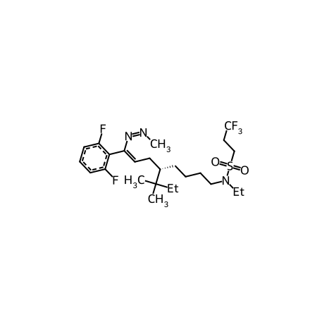 CCN(CCCC[C@@H](C/C=C(\N=N/C)c1c(F)cccc1F)C(C)(C)CC)S(=O)(=O)CCC(F)(F)F